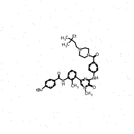 CCC(C)(C)CCN1CCN(C(=O)c2ccc(Nc3nc(-c4cccc(NC(=O)c5ccc(C(C)(C)C)cc5)c4C)cn(C)c3=O)cc2)CC1